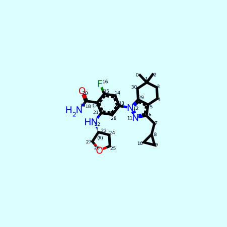 CC1(C)CCc2c(CC3CC3)nn(-c3cc(F)c(C(N)=O)c(N[C@@H]4CCOC4)c3)c2C1